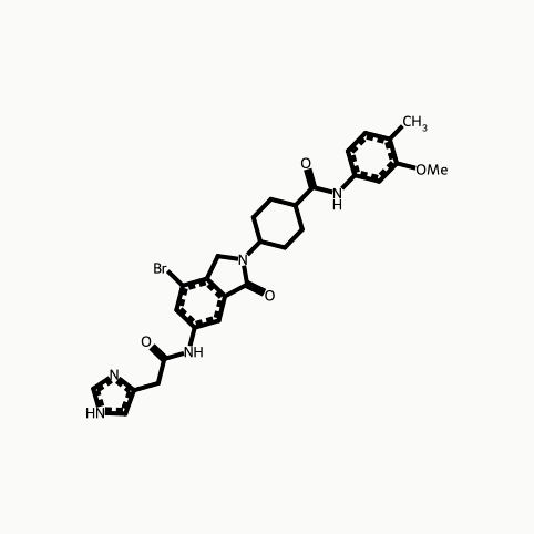 COc1cc(NC(=O)C2CCC(N3Cc4c(Br)cc(NC(=O)Cc5c[nH]cn5)cc4C3=O)CC2)ccc1C